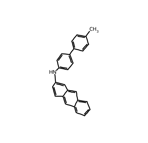 Cc1ccc(-c2ccc(Nc3ccc4cc5ccccc5cc4c3)cc2)cc1